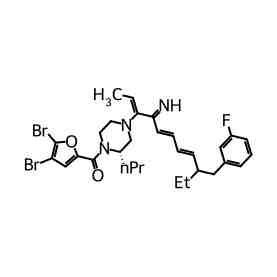 CC=C(C(=N)/C=C/C=C/C(CC)Cc1cccc(F)c1)N1CCN(C(=O)c2cc(Br)c(Br)o2)[C@@H](CCC)C1